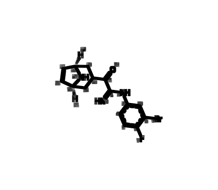 N=C(Nc1ccc(F)c(Br)c1)C(=O)C1C[C@H]2C=C[C@@H](C1)N2